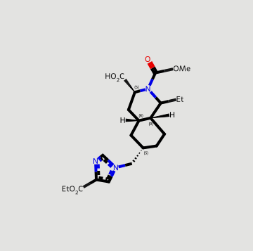 CCOC(=O)c1cn(C[C@H]2CC[C@H]3C(CC)N(C(=O)OC)[C@H](C(=O)O)C[C@H]3C2)cn1